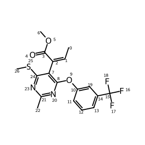 CC=C(C(=O)OC)c1c(Oc2cccc(C(F)(F)F)c2)nc(C)nc1SC